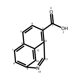 O=C(O)c1ccc2ccc3cc2c1cn3